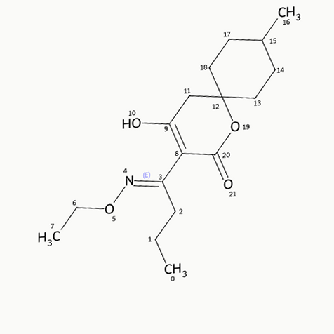 CCC/C(=N\OCC)C1=C(O)CC2(CCC(C)CC2)OC1=O